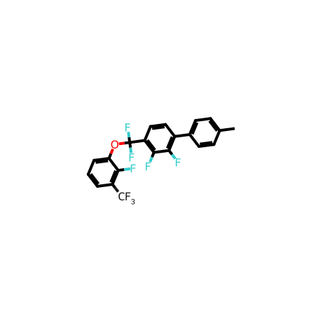 Cc1ccc(-c2ccc(C(F)(F)Oc3cccc(C(F)(F)F)c3F)c(F)c2F)cc1